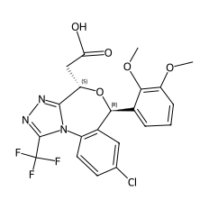 COc1cccc([C@@H]2O[C@@H](CC(=O)O)c3nnc(C(F)(F)F)n3-c3ccc(Cl)cc32)c1OC